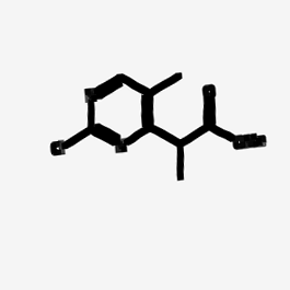 COC(=O)C(C)c1nc(Cl)ncc1C